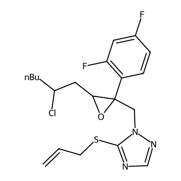 C=CCSc1ncnn1CC1(c2ccc(F)cc2F)OC1CC(Cl)CCCC